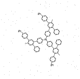 Cc1cc(-c2ccccc2)c(-c2ccc(N(c3ccc(-c4cc(-c5ccc(C(C)C)cc5)c(C)cc4-c4ccccc4)cc3)c3ccc(-c4cc(-c5ccc(C(C)C)cc5)c(C)cc4-c4ccccc4)cc3)cc2)cc1-c1ccc(C(C)C)cc1